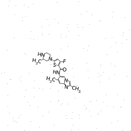 Cc1cn2cc(NC(=O)c3sc(N4CCNC(C)C4)cc3F)c(C)cc2n1